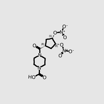 O=C(O)N1CCN(C(=O)[C@@H]2C[C@H](O[N+](=O)[O-])[C@H](O[N+](=O)[O-])C2)CC1